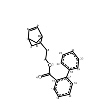 O=C(OCCC1CC2C=CC1C2)c1ccccc1-c1ccccc1